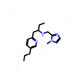 CCCc1ccc(CC(CC)NCc2nccn2C)nc1